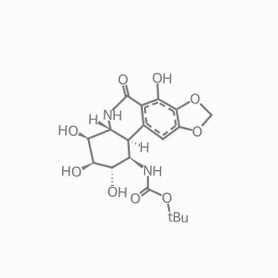 CC(C)(C)OC(=O)N[C@H]1[C@H](O)[C@@H](O)[C@@H](O)[C@@H]2NC(=O)c3c(cc4c(c3O)OCO4)[C@@H]12